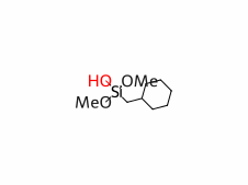 CO[Si](O)(CC1CCCCC1)OC